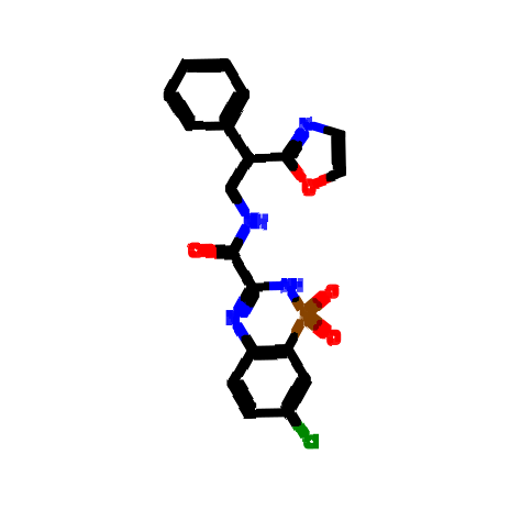 O=C(NCC(c1ccccc1)c1ncco1)C1=Nc2ccc(Cl)cc2S(=O)(=O)N1